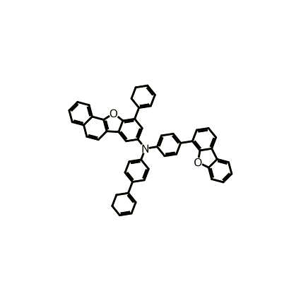 C1=CCCC(c2ccc(N(c3ccc(-c4cccc5c4oc4ccccc45)cc3)c3cc(C4=CC=CCC4)c4oc5c6ccccc6ccc5c4c3)cc2)=C1